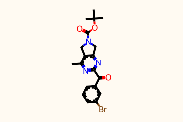 Cc1nc(C(=O)c2cccc(Br)c2)nc2c1CN(C(=O)OC(C)(C)C)C2